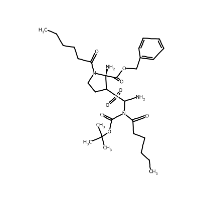 CCCCCC(=O)N(C(=O)OC(C)(C)C)C(N)S(=O)(=O)C1CCN(C(=O)CCCCC)[C@]1(N)C(=O)OCc1ccccc1